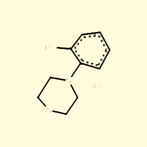 Cl.Oc1ccccc1N1CCNCC1